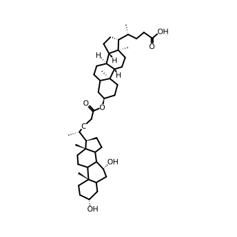 C[C@H](CCC(=O)O)[C@H]1CC[C@H]2[C@@H]3CCC4C[C@H](OC(=O)CC[C@@H](C)[C@H]5CCC6C7C(CC[C@@]65C)[C@@]5(C)CC[C@@H](O)CC5C[C@H]7O)CC[C@]4(C)[C@H]3CC[C@]12C